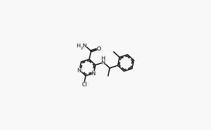 Cc1ccccc1C(C)Nc1nc(Cl)ncc1C(N)=O